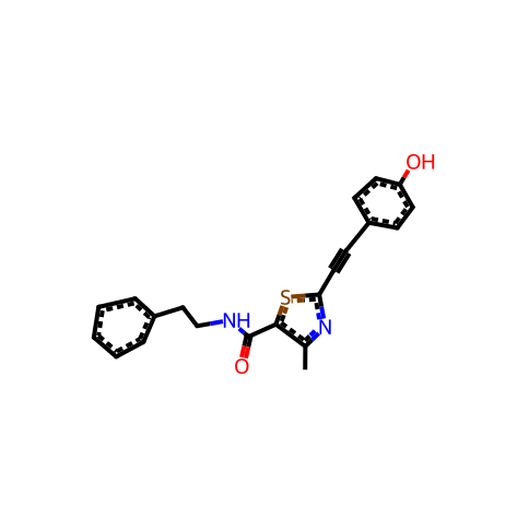 Cc1nc(C#Cc2ccc(O)cc2)sc1C(=O)NCCc1ccccc1